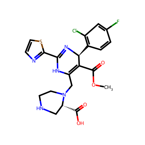 COC(=O)C1=C(CN2CCNC[C@H]2C(=O)O)NC(c2nccs2)=N[C@H]1c1ccc(F)cc1Cl